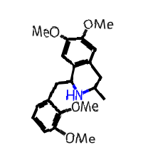 COc1cc2c(cc1OC)C(Cc1cccc(OC)c1OC)NC(C)C2